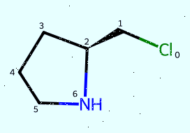 ClC[C@@H]1CCCN1